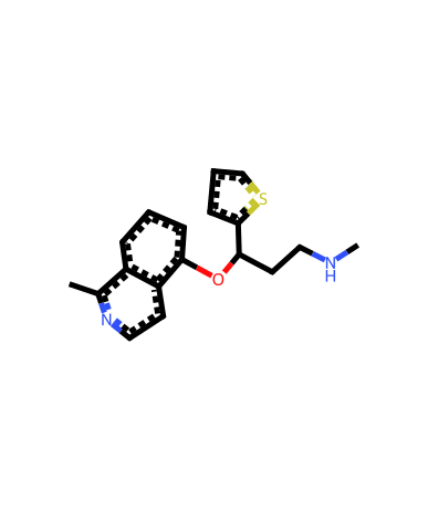 CNCCC(Oc1cccc2c(C)nccc12)c1cccs1